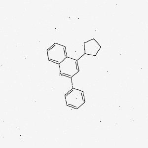 c1ccc(-c2cc(C3CCCC3)c3ccccc3n2)cc1